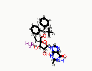 CC[C@@]1(CO[Si](c2ccccc2)(c2ccccc2)C(C)(C)C)O[C@@H](n2cnc3c(=O)[nH]c(C)nc32)[C@H](O)[C@@H]1OP